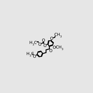 CCOC(=O)Oc1cc(OCC)cc(OC)c1C(=O)CCc1ccc(OC)cc1